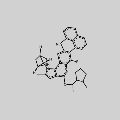 Cc1cc2c(nc(O[C@@H](C)C3CCCN3C)c3cc(C)n([C@H]4[C@H]5CN[C@@H]4C5)c32)c(F)c1-c1cccc2cccc(C#N)c12